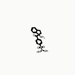 CCCN(CCC)S(=O)(=O)c1ccc(C(=O)C2(N)CCc3ccccc32)cc1